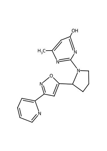 Cc1cc(O)nc(N2CCCC2c2cc(-c3ccccn3)no2)n1